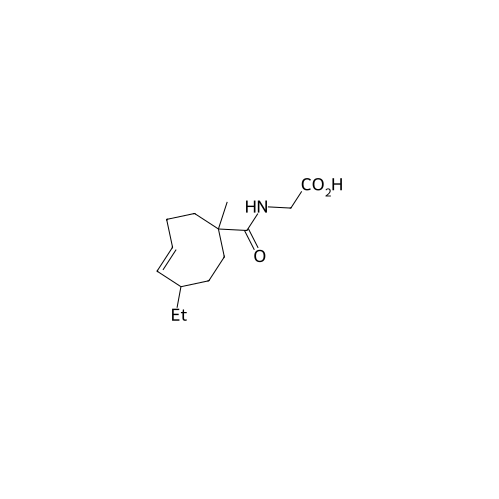 CCC1/C=C/CCC(C)(C(=O)NCC(=O)O)CC1